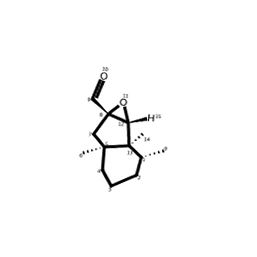 C[C@@H]1CCC[C@@]2(C)C[C@]3(C=O)O[C@@H]3[C@@]12C